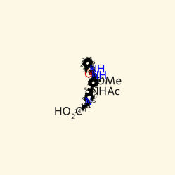 COc1cc(C(C)(NC(C)=O)C2CCN(CCCC(=O)O)CC2)ccc1NC(=O)Nc1ccccc1C